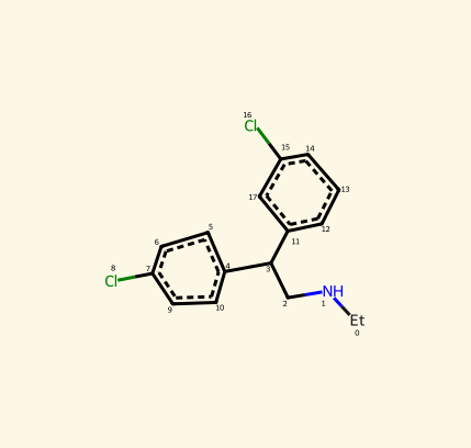 CCNCC(c1ccc(Cl)cc1)c1cccc(Cl)c1